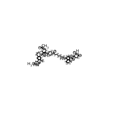 CNCC(C=N)c1cc2c(cc1C(F)F)N(C(=N)C1=C(NC3CCN(C(=O)CCCCCCNc4ccc(C(=O)NC5CCC(=O)NC5=O)c5ncccc45)CC3)CCN(C(C)=O)C1)CCC2